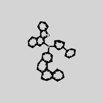 c1ccc(-c2cccc(N(c3ccc4c(ccc5ccc6ccccc6c54)c3)c3cc4ccccc4c4c3oc3ccccc34)c2)cc1